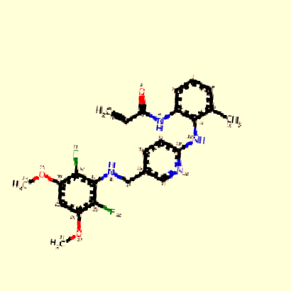 C=CC(=O)Nc1cccc(C)c1Nc1ccc(CNc2c(F)c(OC)cc(OC)c2F)cn1